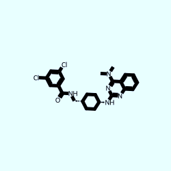 CN(C)c1nc(N[C@H]2CC[C@@H](CNC(=O)c3cc(Cl)cc(Cl)c3)CC2)nc2ccccc12